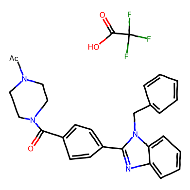 CC(=O)N1CCN(C(=O)c2ccc(-c3nc4ccccc4n3Cc3ccccc3)cc2)CC1.O=C(O)C(F)(F)F